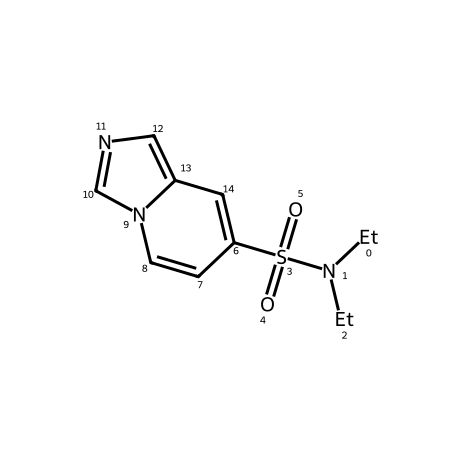 CCN(CC)S(=O)(=O)c1ccn2cncc2c1